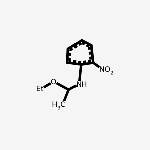 CCOC(C)Nc1ccccc1[N+](=O)[O-]